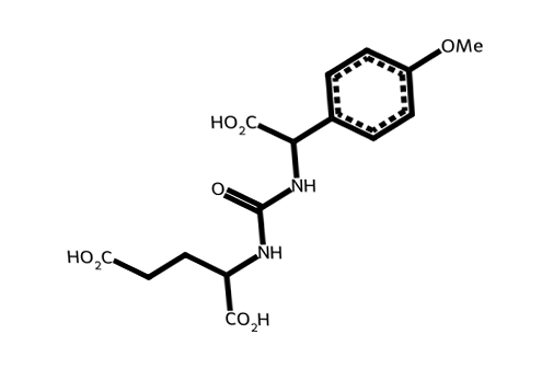 COc1ccc(C(NC(=O)NC(CCC(=O)O)C(=O)O)C(=O)O)cc1